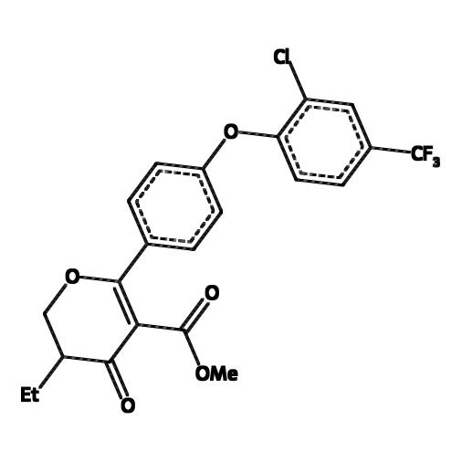 CCC1COC(c2ccc(Oc3ccc(C(F)(F)F)cc3Cl)cc2)=C(C(=O)OC)C1=O